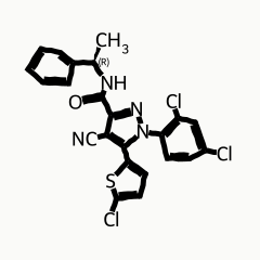 C[C@@H](NC(=O)c1nn(-c2ccc(Cl)cc2Cl)c(-c2ccc(Cl)s2)c1C#N)c1ccccc1